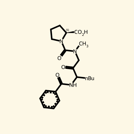 CCCCC(NC(=O)c1ccccc1)C(=O)CN(C)C(=O)N1CCC[C@H]1C(=O)O